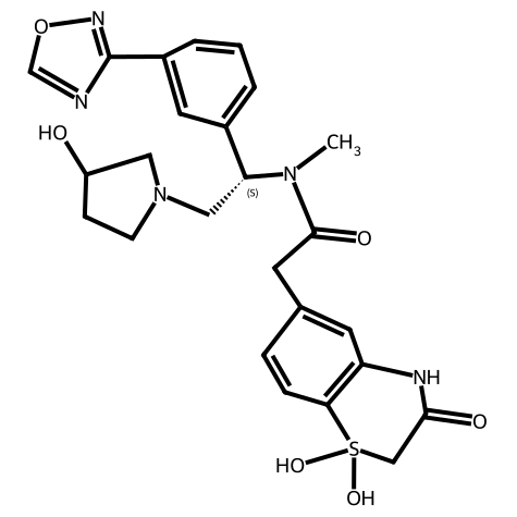 CN(C(=O)Cc1ccc2c(c1)NC(=O)CS2(O)O)[C@H](CN1CCC(O)C1)c1cccc(-c2ncon2)c1